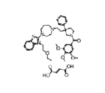 CCOCCn1c(N2CCCN(CCC3(c4ccccc4)CCN(C(=O)c4cc(OC)c(OC)c(OC)c4)C3)CC2)nc2ccccc21.O=C(O)C=CC(=O)O